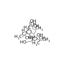 CCC(C)(C)c1cc(CCCO)cc(C(CC(C)CC(C)(C)C)c2cc(CCCO)cc(C(C)(C)CC)c2O)c1O